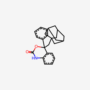 O=C1Nc2ccccc2C(CC23CC4CC(CC(C4)C2)C3)(c2ccccc2)O1